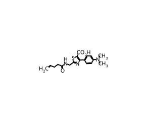 C=CCCC(=O)NCc1nc(-c2ccc(N(C)C)cc2)c(C(=O)O)s1